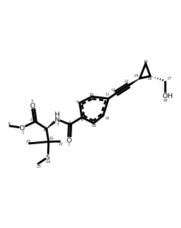 COC(=O)[C@@H](NC(=O)c1ccc(C#C[C@H]2C[C@@H]2CO)cc1)C(C)(C)SC